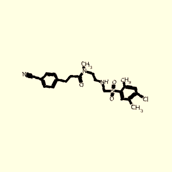 Cc1cc(S(=O)(=O)CNCCN(C)C(=O)CCc2ccc(C#N)cc2)c(C)cc1Cl